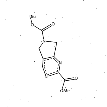 COC(=O)c1ncc2c(n1)CN(C(=O)OC(C)(C)C)C2